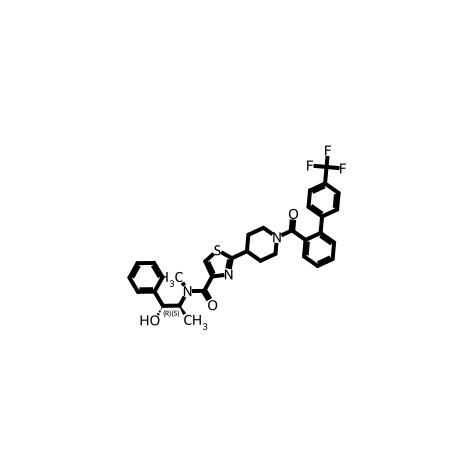 C[C@@H]([C@H](O)c1ccccc1)N(C)C(=O)c1csc(C2CCN(C(=O)c3ccccc3-c3ccc(C(F)(F)F)cc3)CC2)n1